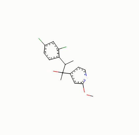 CC(c1ccc(F)cc1Cl)C(O)(c1ccnc(OC(=O)O)c1)C(F)(F)F